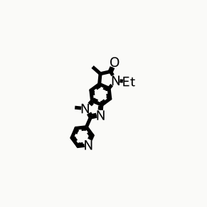 CCN1C(=O)C(C)c2cc3c(cc21)nc(-c1cccnc1)n3C